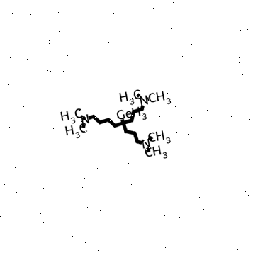 CN(C)CCCC[C]([GeH3])(CCCN(C)C)CCCN(C)C